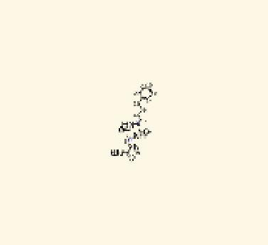 CC(C)(C)c1ocnc1/C=c1\[nH]c(=O)/c(=C/CCCc2ccccc2)[nH]c1=O